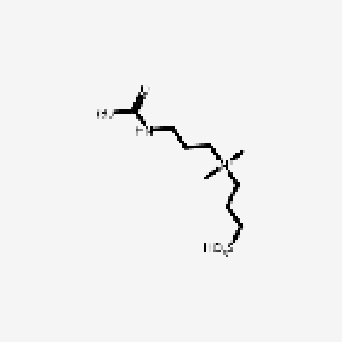 CCC(C)C(=O)NCCC[N+](C)(C)CCCS(=O)(=O)O